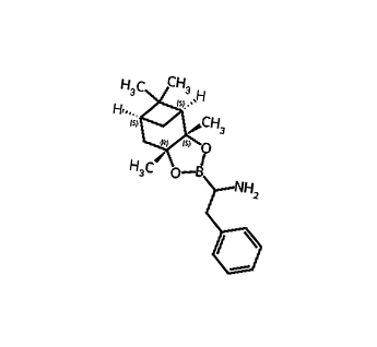 CC1(C)[C@H]2C[C@@H]1[C@]1(C)OB(C(N)Cc3ccccc3)O[C@]1(C)C2